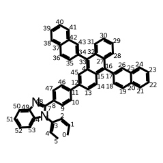 C/C=C\C(=C/C)n1c(-c2ccc(-c3ccc4c(-c5ccc6ccccc6c5)c5ccccc5c(-c5ccc6ccccc6c5)c4c3)cc2)nc2ccccc21